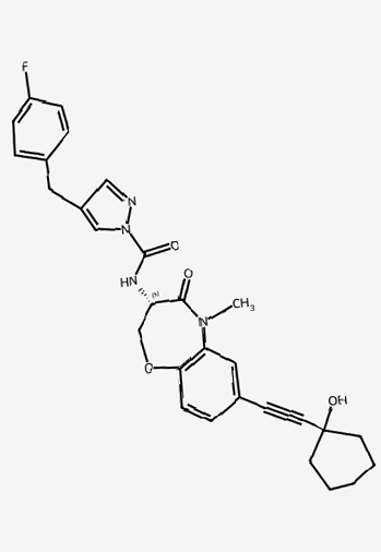 CN1C(=O)[C@@H](NC(=O)n2cc(Cc3ccc(F)cc3)cn2)COc2ccc(C#CC3(O)CCCCC3)cc21